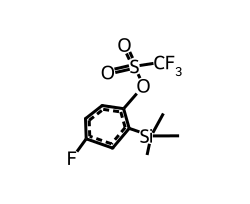 C[Si](C)(C)c1cc(F)ccc1OS(=O)(=O)C(F)(F)F